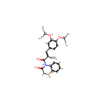 C/C(=C\c1ccc(OC(F)F)c(OC(F)F)c1)C(=O)N1C(=O)CSc2ccccc21